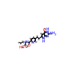 CCC[C@H](NC(=O)c1ccc(CCc2cc3c(=O)[nH]c(N)nc3[nH]2)cn1)C(=O)O